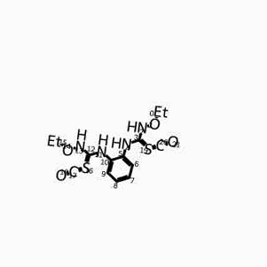 CCONC(Nc1ccccc1NC(NOCC)=S=C=O)=S=C=O